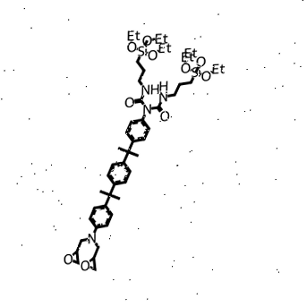 CCO[Si](CCCNC(=O)N(C(=O)NCCC[Si](OCC)(OCC)OCC)c1ccc(C(C)(C)c2ccc(C(C)(C)c3ccc(N(CC4CO4)CC4CO4)cc3)cc2)cc1)(OCC)OCC